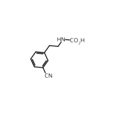 N#Cc1cccc(CCNC(=O)O)c1